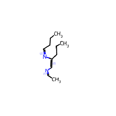 C\C=N/C=C(CCC)\N=C/CCC